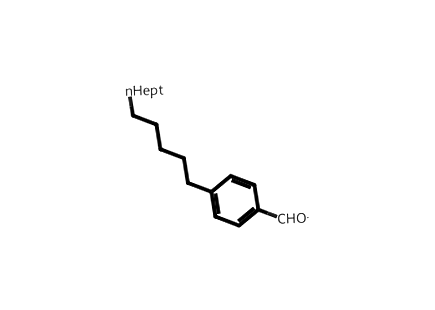 CCCCCCCCCCCCc1ccc([C]=O)cc1